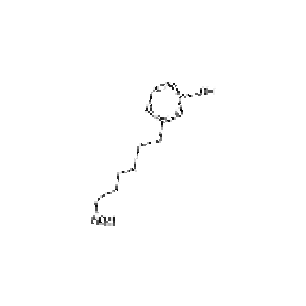 [CH2]CCCCCCCCCCCCCc1cccc(O)c1